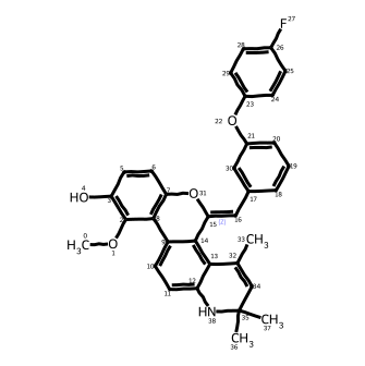 COc1c(O)ccc2c1-c1ccc3c(c1/C(=C/c1cccc(Oc4ccc(F)cc4)c1)O2)C(C)=CC(C)(C)N3